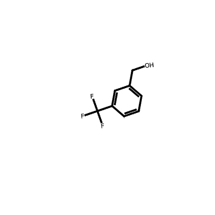 OCc1cc[c]c(C(F)(F)F)c1